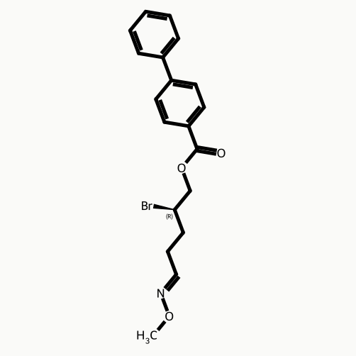 CON=CCC[C@@H](Br)COC(=O)c1ccc(-c2ccccc2)cc1